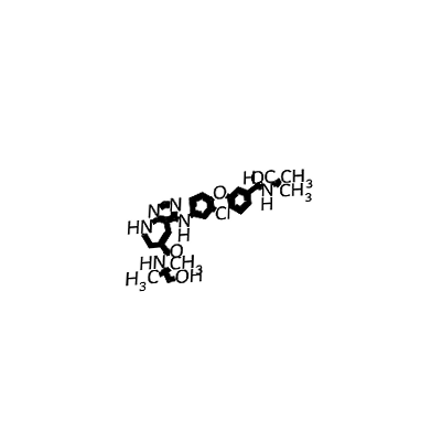 CC(C)(C)NC(=O)c1cccc(Oc2ccc(Nc3ncnc4c3C=C(C(=O)NC(C)(C)CO)CCN4)cc2Cl)c1